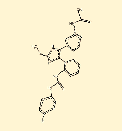 CSc1nc(-c2ccccc2NC(=O)Nc2ccc(Br)cc2)c(-c2ccnc(NC(C)=O)c2)[nH]1